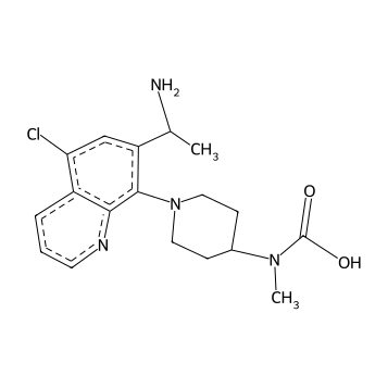 CC(N)c1cc(Cl)c2cccnc2c1N1CCC(N(C)C(=O)O)CC1